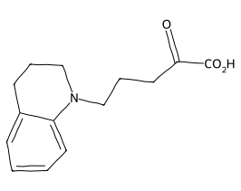 O=C(O)C(=O)CCCN1CCCc2ccccc21